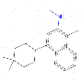 CNc1cc(C2CCC(C)(C)CC2)c2ccccc2c1C